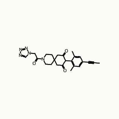 CC#Cc1cc(C)c(C2C(=O)CC3(CCN(C(=O)Cn4cnnn4)CC3)CC2=O)c(C)c1